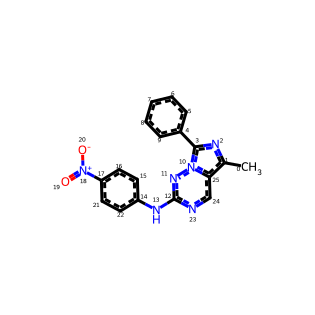 Cc1nc(-c2ccccc2)n2nc(Nc3ccc([N+](=O)[O-])cc3)ncc12